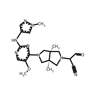 COc1cnc(Nc2cnn(C)c2)nc1N1C[C@@]2(C)CN(C(C#N)C=O)C[C@@]2(C)C1